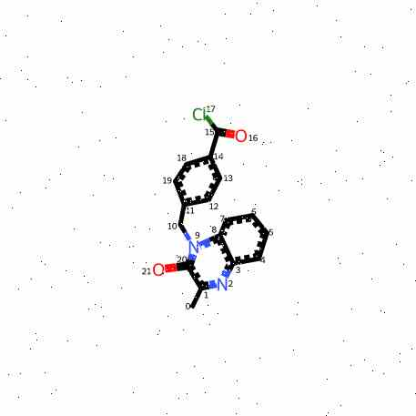 Cc1nc2ccccc2n(Cc2ccc(C(=O)Cl)cc2)c1=O